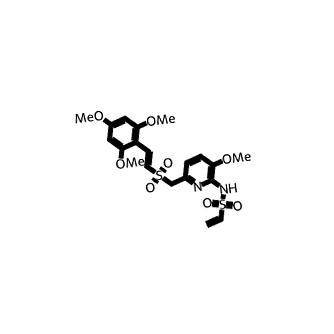 C=CS(=O)(=O)Nc1nc(CS(=O)(=O)C=Cc2c(OC)cc(OC)cc2OC)ccc1OC